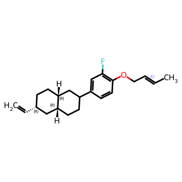 C=C[C@@H]1CC[C@@H]2CC(c3ccc(OC/C=C/C)c(F)c3)CC[C@@H]2C1